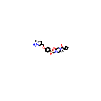 C/C=C(\CN)COc1ccc(S(=O)(=O)CN2CCN(C(=O)C3(C)CCC3)CC2=O)cc1